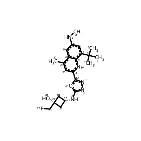 CNc1cc(C(C)(C)C)c2nc(-c3nnc(N[C@H]4C[C@](O)(CF)C4)o3)cc(C)c2c1